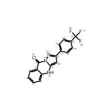 O=c1c2ccccc2[nH]c2cc(-c3ccc(C(F)(F)F)cc3)nn12